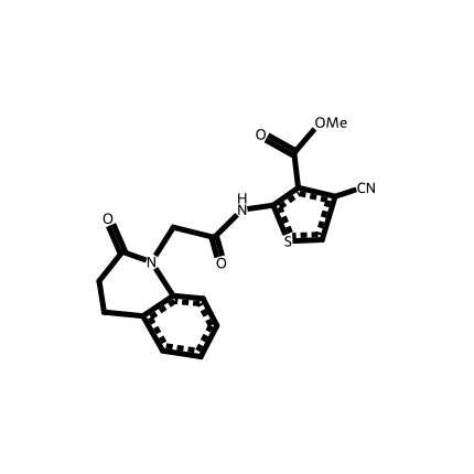 COC(=O)c1c(C#N)csc1NC(=O)CN1C(=O)CCc2ccccc21